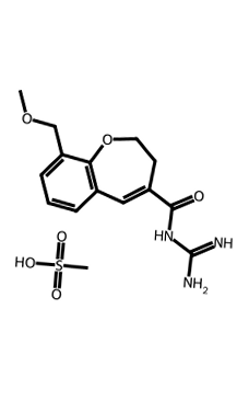 COCc1cccc2c1OCCC(C(=O)NC(=N)N)=C2.CS(=O)(=O)O